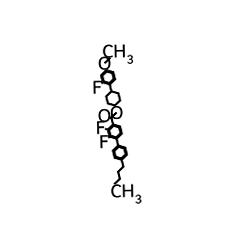 CCCCCc1ccc(-c2ccc(C(=O)OC3CCC(c4ccc(OCC)cc4F)CC3)c(F)c2F)cc1